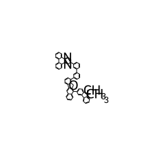 CC1(C)c2ccccc2-c2cc(-c3c4ccccc4cc4c3oc3c(-c5cccc(-c6cccc(-c7cnc8c9ccccc9c9ccccc9c8n7)c6)c5)cccc34)ccc21